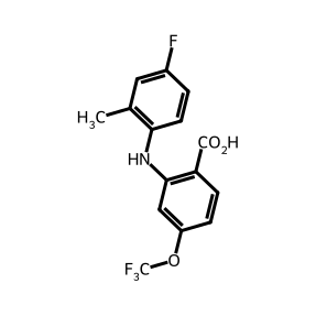 Cc1cc(F)ccc1Nc1cc(OC(F)(F)F)ccc1C(=O)O